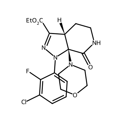 CCOC(=O)C1=NN(c2cccc(Cl)c2F)[C@@]2(N3CCOCC3)C(=O)NCC[C@@H]12